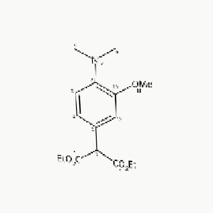 CCOC(=O)C(C(=O)OCC)c1ccc(N(C)C)c(OC)c1